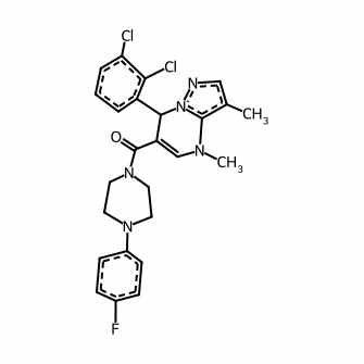 Cc1cnn2c1N(C)C=C(C(=O)N1CCN(c3ccc(F)cc3)CC1)C2c1cccc(Cl)c1Cl